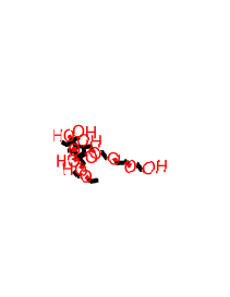 CCC(O)(CO)C(=O)C(O)(COCCOCCOCCO)C(=O)C(O)(CC)CO.CCOCC